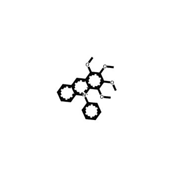 COc1c(OC)c(OC)c2c(cc3ccccc3[n+]2-c2ccccc2)c1OC